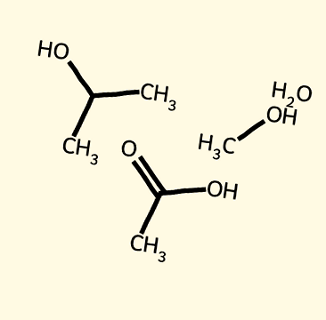 CC(=O)O.CC(C)O.CO.O